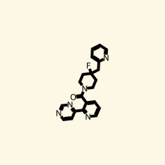 O=C(c1cccnc1-c1ccncn1)N1CCC(F)(Cc2ccccn2)CC1